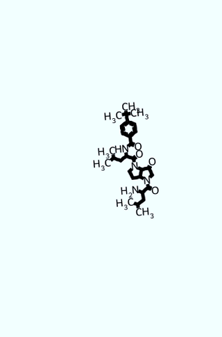 CC(C)CC(N)C(=O)N1CC(=O)C2C1CCN2C(=O)C(CC(C)C)NC(=O)c1ccc(C(C)(C)C)cc1